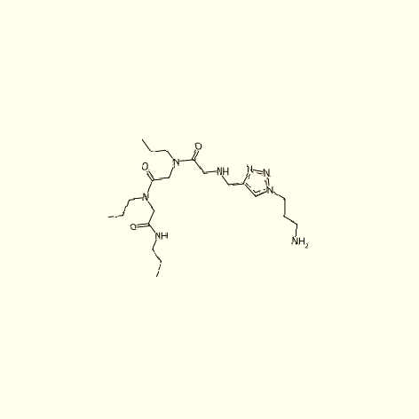 CCCNC(=O)CN(CCC)C(=O)CN(CCC)C(=O)CNCc1cn(CCCN)nn1